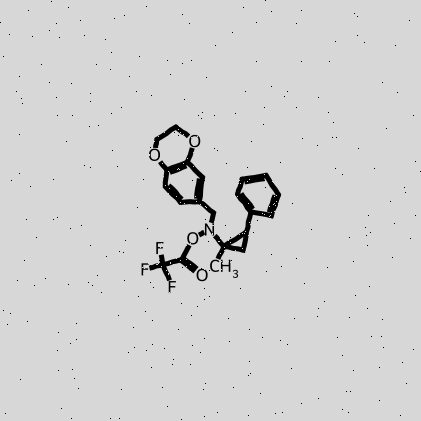 CC1(N(Cc2ccc3c(c2)OCCO3)OC(=O)C(F)(F)F)CC1c1ccccc1